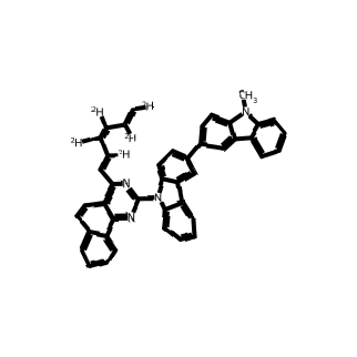 [2H]/C=C([2H])/C([2H])=C([2H])\C([2H])=C\c1nc(-n2c3ccccc3c3cc(-c4ccc5c(c4)c4ccccc4n5C)ccc32)nc2c1ccc1ccccc12